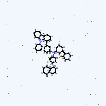 c1ccc(-n2c3ccccc3c3cccc(-c4cccc(N(c5ccc(-c6cccc7ccccc67)cc5)c5cccc6c5sc5ccccc56)c4)c32)cc1